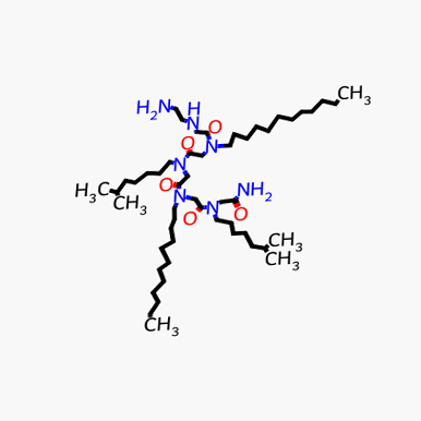 CCCCCCCCCCCCN(CC(=O)N(CCCCCC(C)C)CC(=O)N(CCCCCCCCCCCC)CC(=O)N(CCCCCC(C)C)CC(N)=O)C(=O)CNCCN